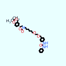 CC1(C)OCc2cc([C@@H]3CN(CCCCCCOCCOCc4ccc(NC(=O)Nc5ccccc5)cc4)C(=O)O3)ccc2O1